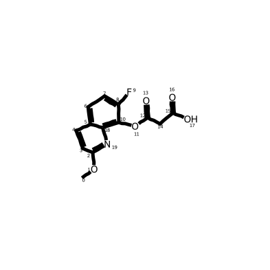 COc1ccc2ccc(F)c(OC(=O)CC(=O)O)c2n1